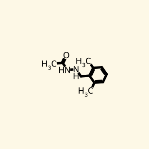 CC(=O)NNCc1c(C)cccc1C